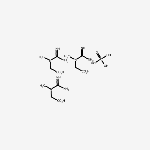 CN(CC(=O)O)C(=N)N.CN(CC(=O)O)C(=N)N.CN(CC(=O)O)C(=N)N.O=P(O)(O)O